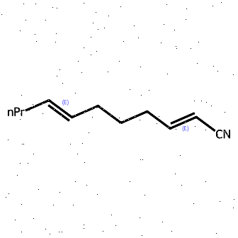 CCC/C=C/CCC/C=C/C#N